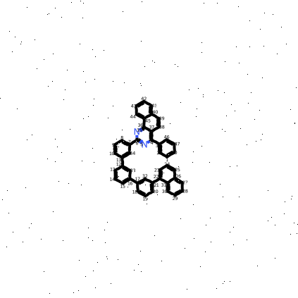 c1ccc(-c2nc(-c3cccc(-c4cccc(-c5cccc(-c6cccc7ccccc67)c5)c4)c3)nc3c2ccc2ccccc23)cc1